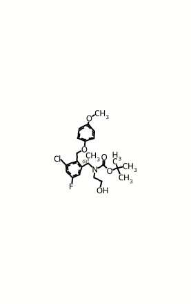 COc1ccc(OCc2c(Cl)cc(F)cc2[C@H](C)N(CCO)C(=O)OC(C)(C)C)cc1